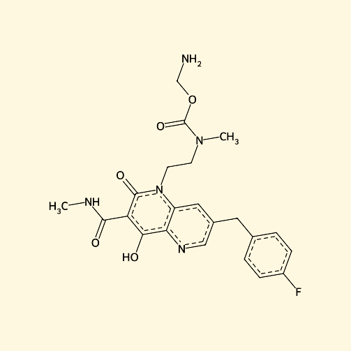 CNC(=O)c1c(O)c2ncc(Cc3ccc(F)cc3)cc2n(CCN(C)C(=O)OCN)c1=O